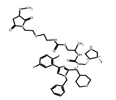 CSC1CC(=O)N(CCOCCNC(=O)OCC(C)NC(=O)N(C[C@@H]2CNC[C@@H]2F)[C@@H](c2nc(-c3cc(F)ccc3F)cn2Cc2ccccc2)C2CCOCC2)C1=O